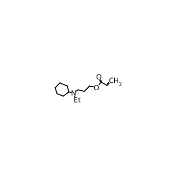 C=CC(=O)OCCCN(CC)C1CCCCC1